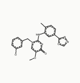 COc1cn(Cc2cccc(Cl)c2)c(Nc2cc(-c3nnco3)ccc2C)nc1=O